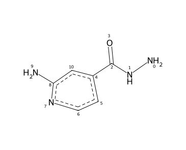 NNC(=O)c1ccnc(N)c1